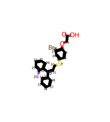 O=C(O)COc1ccc(SC/C=C(/c2ccccc2)c2ccccc2I)cc1Br